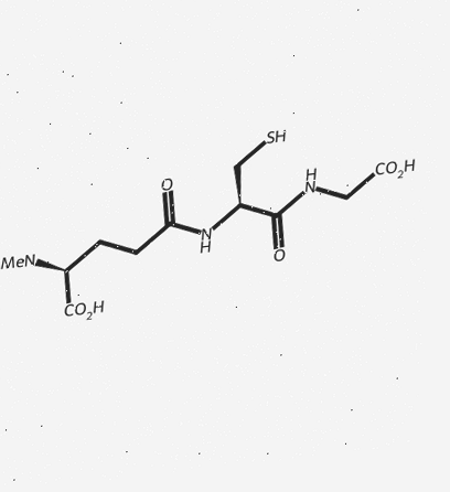 CN[C@@H](CCC(=O)N[C@@H](CS)C(=O)NCC(=O)O)C(=O)O